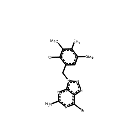 COc1cc(Cn2nnc3c(Br)nc(N)nc32)c(Cl)c(OC)c1C